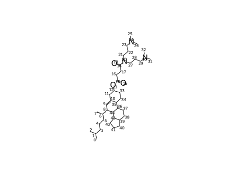 CC(C)CCC[C@@H](C)C1C=C2CC(OC(=O)CCC(=O)N(CCCN(C)C)CCCN(C)C)CCC2C2CCC3CCCC3C21